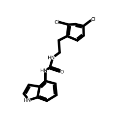 O=C(NCCc1ccc(Cl)cc1Cl)Nc1cccc2[nH]ccc12